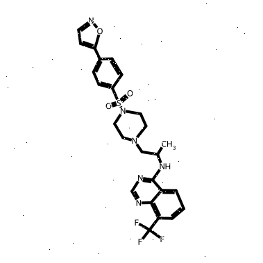 CC(CN1CCN(S(=O)(=O)c2ccc(-c3ccno3)cc2)CC1)Nc1ncnc2c(C(F)(F)F)cccc12